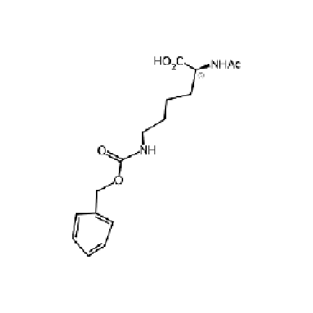 CC(=O)N[C@@H](CCCCNC(=O)OCc1ccccc1)C(=O)O